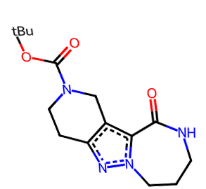 CC(C)(C)OC(=O)N1CCc2nn3c(c2C1)C(=O)NCCC3